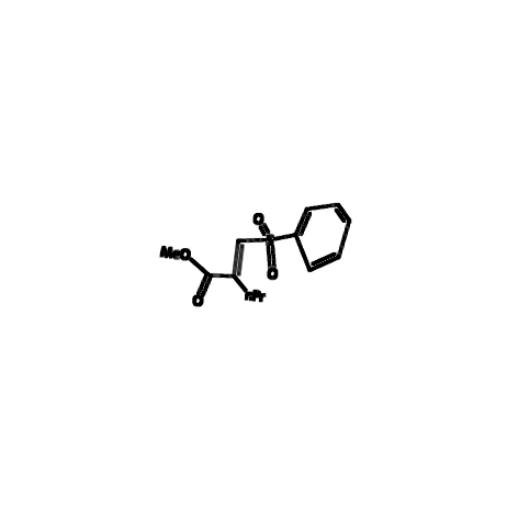 CCC/C(=C\S(=O)(=O)c1ccccc1)C(=O)OC